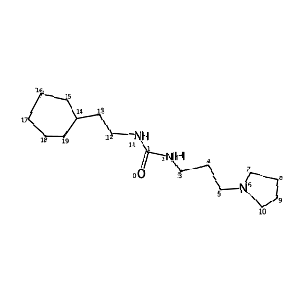 O=C(NCCCN1CCCC1)NCCC1CCCCC1